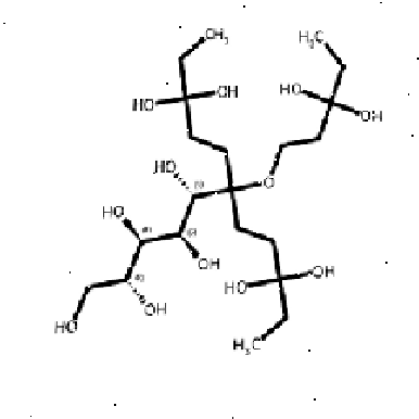 CCC(O)(O)CCOC(CCC(O)(O)CC)(CCC(O)(O)CC)[C@@H](O)[C@@H](O)[C@H](O)[C@H](O)CO